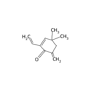 C=CC1=CC(C)(C)CC(=C)C1=O